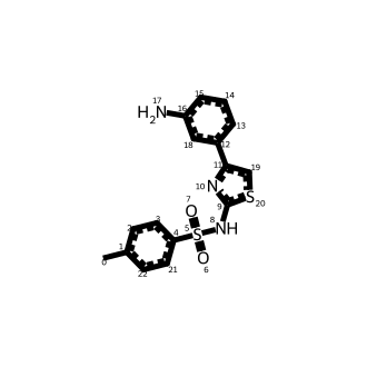 Cc1ccc(S(=O)(=O)Nc2nc(-c3cccc(N)c3)cs2)cc1